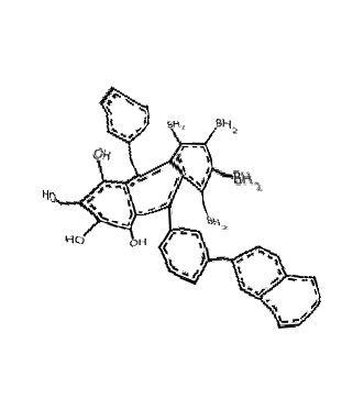 Bc1c(B)c(B)c2c(-c3cccc(-c4ccc5ccccc5c4)c3)c3c(O)c(O)c(O)c(O)c3c(-c3ccccc3)c2c1B